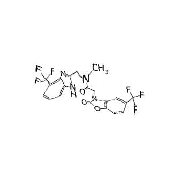 CN(Cc1nc2c(C(F)(F)F)cccc2[nH]1)C(=O)Cn1c(=O)oc2ccc(C(F)(F)F)cc21